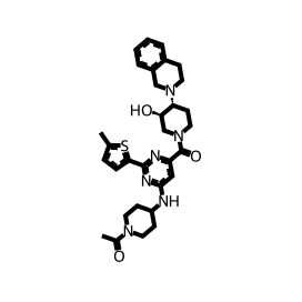 CC(=O)N1CCC(Nc2cc(C(=O)N3CC[C@@H](N4CCc5ccccc5C4)[C@H](O)C3)nc(-c3ccc(C)s3)n2)CC1